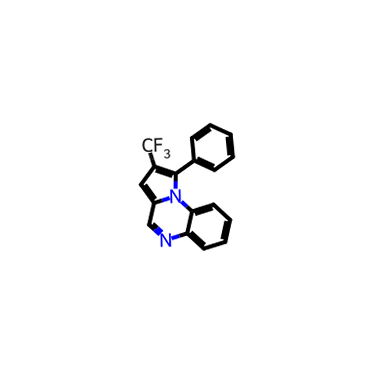 FC(F)(F)c1cc2cnc3ccccc3n2c1-c1ccccc1